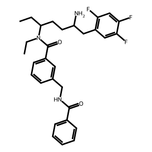 CCC(CCC(N)Cc1cc(F)c(F)cc1F)N(CC)C(=O)c1cccc(CNC(=O)c2ccccc2)c1